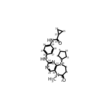 CN1C(=O)CCN(C2CCCC2)c2nc(Nc3ccc(NC(=O)C4CC4)cc3)ncc21